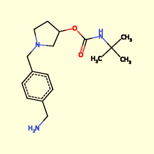 CC(C)(C)NC(=O)OC1CCN(Cc2ccc(CN)cc2)C1